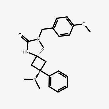 COc1ccc(CN2C[C@]3(C[C@](c4ccccc4)(N(C)C)C3)NC2=O)cc1